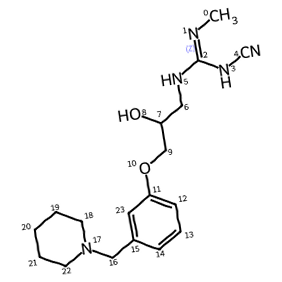 C/N=C(\NC#N)NCC(O)COc1cccc(CN2CCCCC2)c1